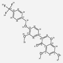 COc1cc(OC)c2c(=O)c(-c3ccc(OCc4ccc(C(F)(F)F)cc4)c(OC)c3)coc2c1